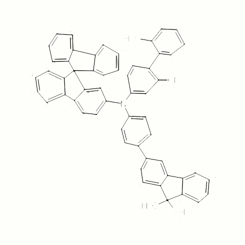 Cc1ccccc1-c1ccc(N(c2ccc(-c3ccc4c(c3)-c3ccccc3C4(C)C)cc2)c2ccc3c(c2)C2(c4ccccc4-c4ccccc42)c2ccccc2-3)cc1C